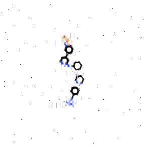 Cn1nnc(-c2ccc(N3CCC[C@H](N[C@@H]4CCCC[C@H]4Nc4cc(-c5cccc(NS(C)(=O)=O)c5)ccn4)C3)cc2)n1